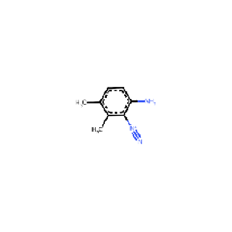 Cc1ccc(N)c([N+]#N)c1C